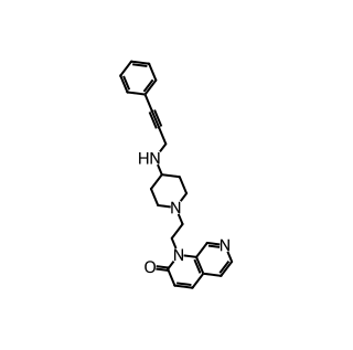 O=c1ccc2ccncc2n1CCN1CCC(NCC#Cc2ccccc2)CC1